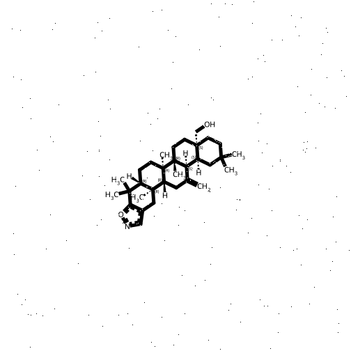 C=C1C[C@@H]2[C@@]3(C)Cc4cnoc4C(C)(C)[C@@H]3CC[C@@]2(C)[C@]2(C)CC[C@@]3(CO)CCC(C)(C)C[C@H]3[C@@H]12